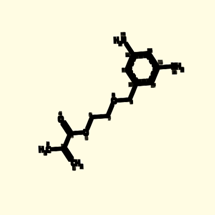 C=C(C)C(=O)OCCOCc1cc(N)cc(N)c1